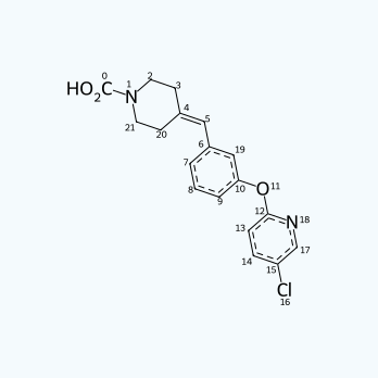 O=C(O)N1CCC(=Cc2cccc(Oc3ccc(Cl)cn3)c2)CC1